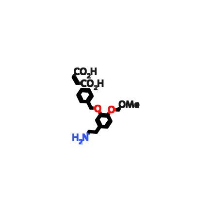 COCOc1ccc(CCN)cc1OCc1ccccc1.O=C(O)/C=C\C(=O)O